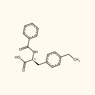 CCc1ccc(C[C@H](NC(=O)c2ccccc2)C(=O)O)cc1